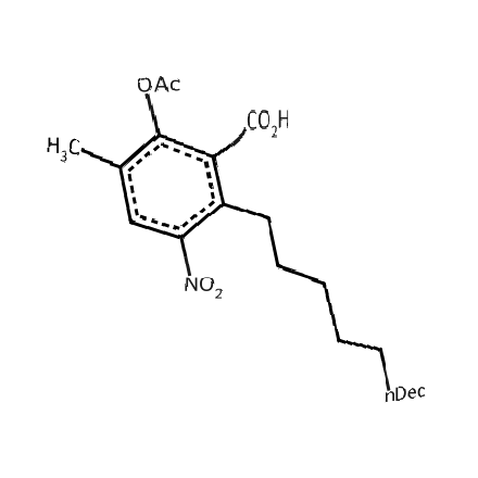 CCCCCCCCCCCCCCCc1c([N+](=O)[O-])cc(C)c(OC(C)=O)c1C(=O)O